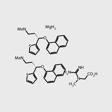 CN(CC(=O)O)C(=N)N.CNCC[C@H](Oc1cccc2ccccc12)c1cccs1.CNCC[C@H](Oc1cccc2ccccc12)c1cccs1.[MgH2]